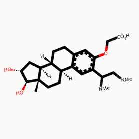 CNCC(NC)c1cc2c(cc1OCC(=O)O)CC[C@@H]1[C@@H]2CC[C@]2(C)[C@@H](O)[C@H](O)C[C@@H]12